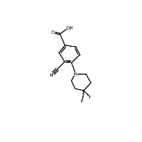 N#Cc1cc(C(=O)O)ccc1N1CCC(F)(F)CC1